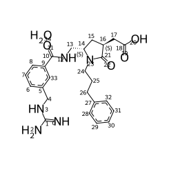 N=C(N)NCc1cccc(C(=O)NC[C@@H]2C[C@@H](CC(=O)O)C(=O)N2CCCc2ccccc2)c1.O